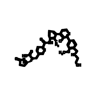 COc1cc(-c2nccc(-c3cccc(NC(=O)c4ccc(CN(C[C@@H]5CCC(=O)N5)C(=O)O)cn4)c3C)c2Cl)ccc1CNCCO